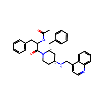 CC(=O)NC(Cc1ccccc1)C(=O)N1CC[C@H](NCc2ccnc3ccccc23)C[C@H]1Cc1ccccc1